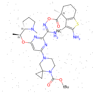 C[C@H](Oc1cc(N2CCN(C(=O)OC(C)(C)C)C3(CC3)C2)nc(/C(N)=N/OC(=O)[C@@]2(C)CCCc3sc(N)c(C#N)c32)n1)[C@@H]1CCCN1C